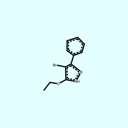 CCOc1[nH]nc(-c2ccccc2)c1Br